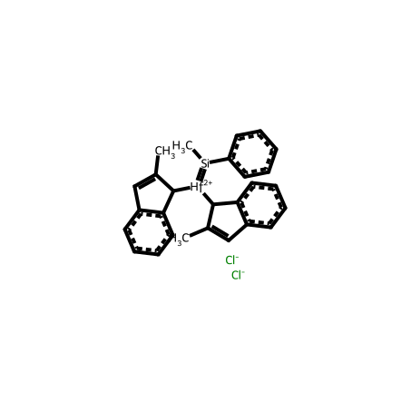 CC1=Cc2ccccc2[CH]1[Hf+2]([CH]1C(C)=Cc2ccccc21)=[Si](C)c1ccccc1.[Cl-].[Cl-]